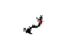 C[C@@H](Oc1cc(-c2cnn(C3CCN(CC4CCN(c5ccc6c(c5)C(=O)N(C5CCC(=O)NC5=O)C6=O)CC4)CC3)c2)cnc1N)c1cc(F)ccc1-n1nccn1